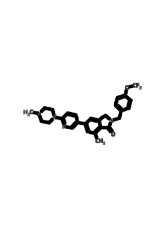 Cc1cc(-c2ccc(N3CCN(C)CC3)nc2)cc2c1C(=O)N(Cc1ccc(OC(F)(F)F)cc1)C2